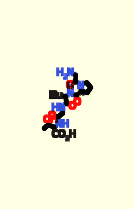 CCC(C)C(NC(=O)[C@@H]1CCCN1C(=O)CN)C(=O)NCC(=O)NC(C(=O)O)C(C)O